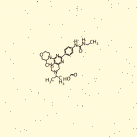 CCNC(=O)Nc1ccc(-c2nc3c(c(N4CCOCC4C)n2)CCN(C(C)C)C3)cc1.O=CO